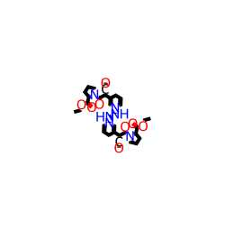 CCOC(=O)C1CCCN1C(=O)C(=C=O)C1=CN(NNN2C=CCC(C(=C=O)C(=O)N3CCCC3C(=O)OCC)=C2)C=CC1